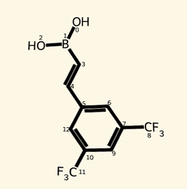 OB(O)/C=C/c1cc(C(F)(F)F)cc(C(F)(F)F)c1